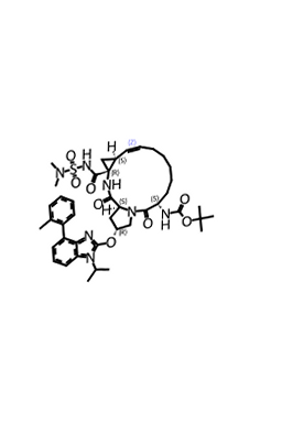 Cc1ccccc1-c1cccc2c1nc(O[C@@H]1C[C@H]3C(=O)N[C@]4(C(=O)NS(=O)(=O)N(C)C)C[C@H]4/C=C\CCCCC[C@H](NC(=O)OC(C)(C)C)C(=O)N3C1)n2C(C)C